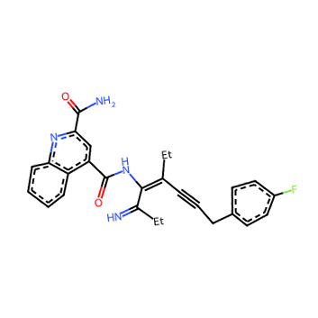 CCC(=N)/C(NC(=O)c1cc(C(N)=O)nc2ccccc12)=C(\C#CCc1ccc(F)cc1)CC